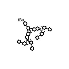 Cc1ccc(-c2ccccc2)cc1N(c1ccc2cc3c4cc(-c5ccc(C(C)(C)C)cc5)cc5c6cc7ccc(N(c8cc(-c9ccccc9)ccc8C)c8cc(-c9ccccc9)ccc8C)cc7cc6n(c3cc2c1)c45)c1cc(-c2ccccc2)ccc1C